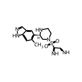 Cc1cc2[nH]ncc2cc1[C@@H]1CN(S(=O)(=O)C(=N)C=N)CCN1